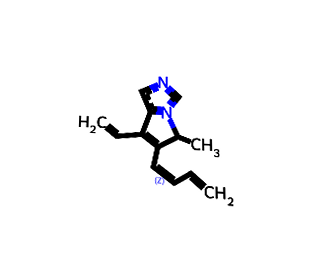 C=C/C=C\C1=C(C=C)c2cncn2C1C